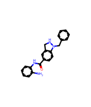 Nc1ccccc1NC(=O)c1ccc2c(c1)CNN2Cc1ccccc1